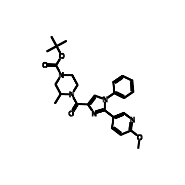 COc1ccc(-c2nc(C(=O)N3CCN(C(=O)OC(C)(C)C)CC3C)cn2-c2ccccc2)cn1